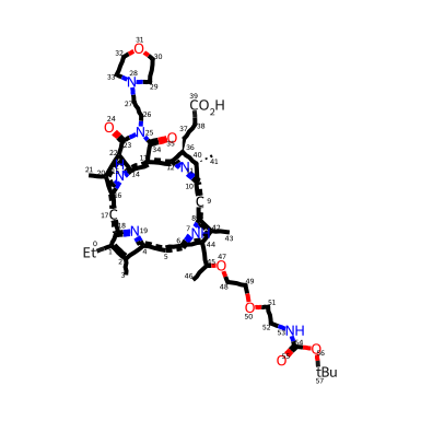 CCC1=C(C)c2cc3[nH]c(cc4nc(c5c6[nH]c(cc1n2)c(C)c6C(=O)N(CCN1CCOCC1)C5=O)[C@@H](CCC(=O)O)[C@@H]4C)c(C)c3C(C)OCCOCCNC(=O)OC(C)(C)C